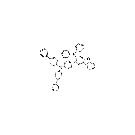 c1ccc(-c2ccc(N(c3ccc(-c4ccccc4)cc3)c3ccc(-c4cc5c6ccccc6oc5c5c6ccccc6n(-c6ccccc6)c45)cc3)cc2)cc1